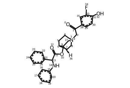 O=C(C[N+]12CCC(CC1)[C@@H](OC(=O)C(Nc1ccccc1)c1ccccc1)C2)c1ccc(O)c(F)c1